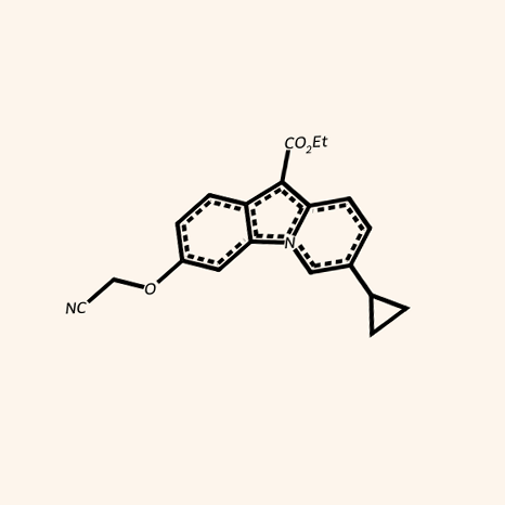 CCOC(=O)c1c2ccc(OCC#N)cc2n2cc(C3CC3)ccc12